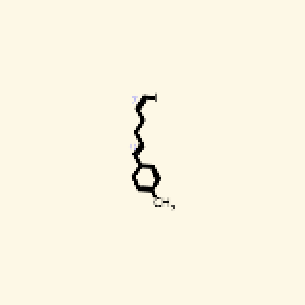 CC1=CCC(/C=C/CC/C=C\I)C=C1